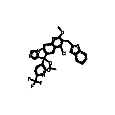 COc1nc2ccc(C(OC(C)=O)(c3ccc(C(F)(F)F)nc3)c3cncn3C)cc2c(Cl)c1Cc1cc2ccccc2s1